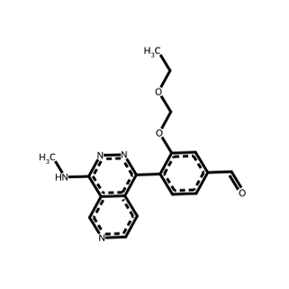 CCOCOc1cc(C=O)ccc1-c1nnc(NC)c2cnccc12